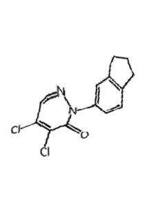 O=c1c(Cl)c(Cl)cnn1-c1ccc2c(c1)CCC2